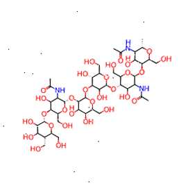 CC(=O)NC1C(O)[C@H](O[C@@H]2OC(CO)[C@@H](O)C(OC3OC(CO)[C@@H](O)C(O)C3O[C@@H]3OC(CO)[C@@H](O[C@@H]4OC(CO)[C@H](CO)C(O)C4O)C(O)C3NC(C)=O)C2O)C(CO)O[C@H]1O[C@@H]1C(CO)O[C@@H](C)C(NC(C)=O)C1O